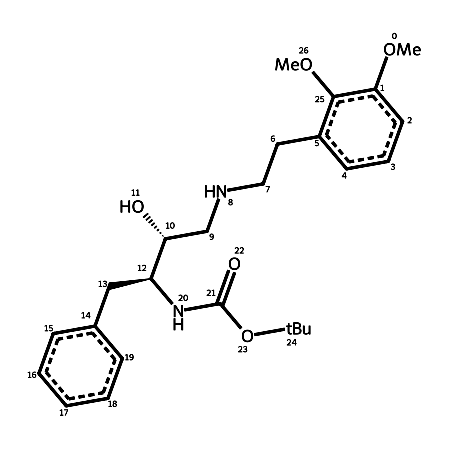 COc1cccc(CCNC[C@@H](O)[C@H](Cc2ccccc2)NC(=O)OC(C)(C)C)c1OC